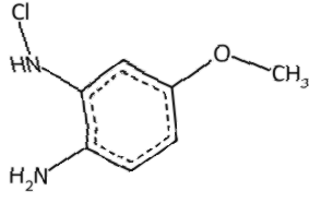 COc1ccc(N)c(NCl)c1